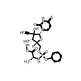 C#CC1(O)[C@@H](O)[C@@](F)(COP(=O)(N[C@@H](C)C(=O)OC(C)C)Oc2ccccc2)O[C@H]1n1ccc(=S)[nH]c1=O